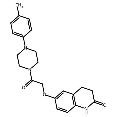 Cc1ccc(N2CCN(C(=O)COc3ccc4c(c3)CCC(=O)N4)CC2)cc1